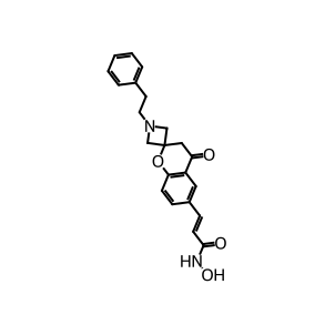 O=C(C=Cc1ccc2c(c1)C(=O)CC1(CN(CCc3ccccc3)C1)O2)NO